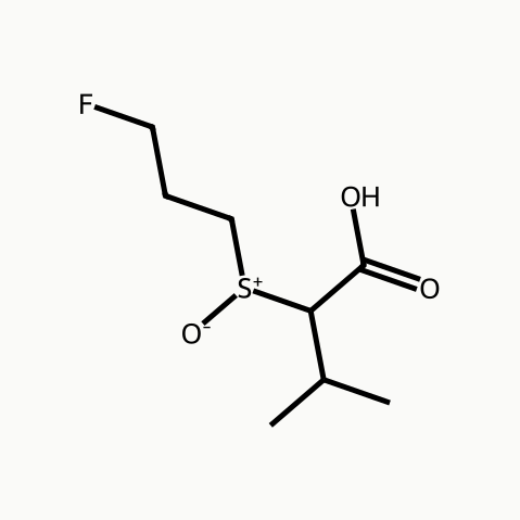 CC(C)C(C(=O)O)[S+]([O-])CCCF